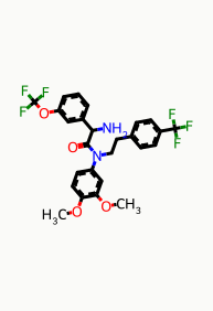 COc1ccc(N(CCc2ccc(C(F)(F)F)cc2)C(=O)C(N)c2cccc(OC(F)(F)F)c2)cc1OC